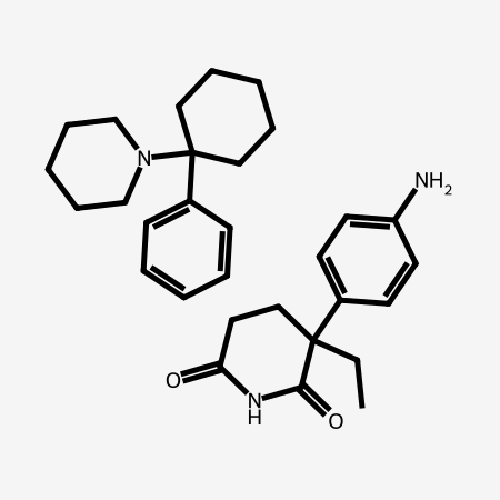 CCC1(c2ccc(N)cc2)CCC(=O)NC1=O.c1ccc(C2(N3CCCCC3)CCCCC2)cc1